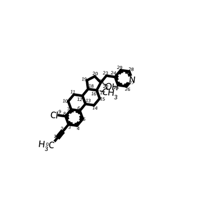 CC#Cc1ccc2c(c1Cl)CCC1C2CC[C@@]2(C)C1CC[C@@]2(O)Cc1ccncc1